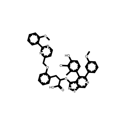 COc1cccc(-c2ncc3snc(OC(Cc4ccccc4OCc4ccnc(-c5ccccc5OC)n4)C(=O)O)c3c2-c2ccc(O)c(Cl)c2C)c1